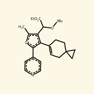 CCOC(=O)C(OC(C)(C)C)c1c(C)sc(-c2ccncc2)c1C1=CCC2(CC1)CC2